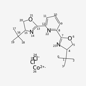 CC(C)(C)C1COC(c2cccc(C3=NC(C(C)(C)C)CO3)n2)=N1.[Cl-].[Cl-].[Co+2]